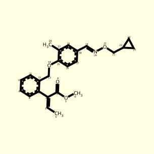 CC=C(C(=O)OC)c1ccccc1COc1ccc(C=NOCC2CC2)cc1C